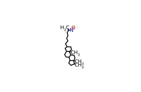 C=C(CCCCCC1CCC2(C)C(CCC3C4CCC(=C)C4(C)CCC32)C1)N=O